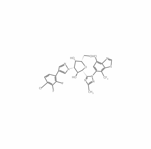 Cc1nc([C@H]2O[C@@H](CO)[C@@H](O)[C@@H](n3cc(-c4ccc(Cl)c(F)c4F)cn3)[C@@H]2O)n(-c2cc(Cl)c3ncsc3c2C(F)(F)F)n1